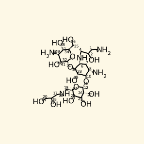 NCC(O)CN[C@@H]1C[C@H](N)C(O[C@H]2O[C@H](CNCC(O)CO)[C@@H](O)[C@H](O)[C@H]2O)[C@H](O)[C@H]1O[C@H]1O[C@H](CO)[C@@H](O)[C@H](N)[C@H]1O